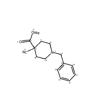 COC(=O)C1(C#N)CCN(Cc2ccccc2)CC1